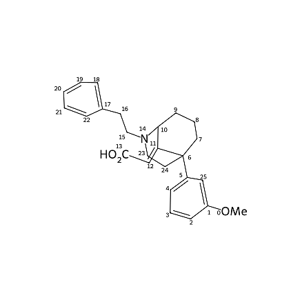 COc1cccc(C23CCCC(C2=CC(=O)O)N(CCc2ccccc2)CC3)c1